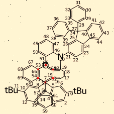 CC(C)(C)c1ccc2c(c1)C1(c3cc(C(C)(C)C)ccc3-2)c2cccc(N(c3ccc4c(c3)C(c3ccccc3)(c3ccccc3)c3ccccc3-4)c3ccccc3-c3ccc(-c4ccccc4)cc3)c2OC2C=CC=CC21